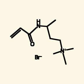 C=CC(=O)NC(C)CC[N+](C)(C)C.[Br-]